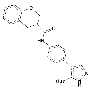 Nc1[nH]ncc1-c1ccc(NC(=O)C2COc3ccccc3C2)cc1